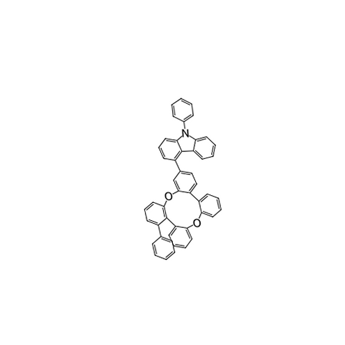 c1ccc(-c2cccc3c2-c2ccccc2Oc2ccccc2-c2ccc(-c4cccc5c4c4ccccc4n5-c4ccccc4)cc2O3)cc1